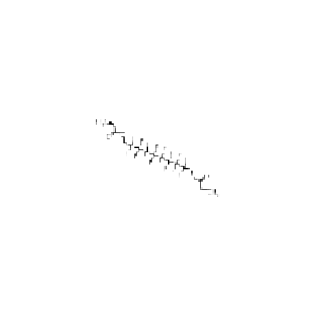 C=CC(=O)OCC(F)(F)C(F)(F)C(F)(F)C(F)(F)C(F)(F)C(F)(F)C(F)(F)C(F)(F)COC(=O)C=C